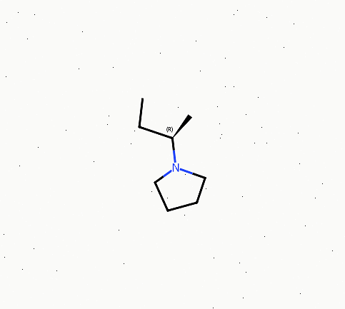 CC[C@@H](C)N1CCCC1